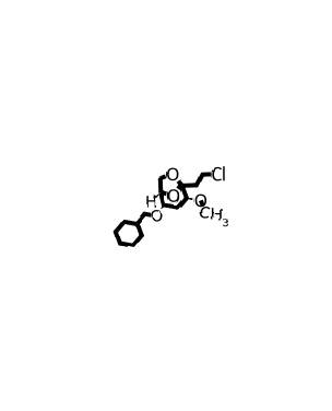 CO[C@@H]1C[C@H](OCC2CCCCC2)[C@H]2COC1(CCCl)O2